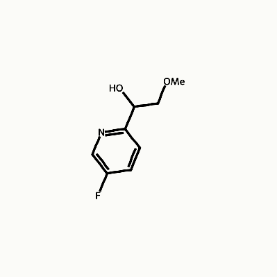 COCC(O)c1ccc(F)cn1